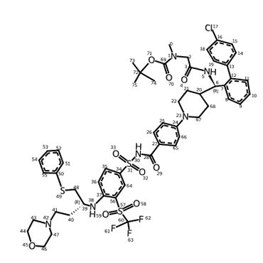 CN(CC(=O)N[C@@H](c1ccccc1-c1ccc(Cl)cc1)C1CCN(c2ccc(C(=O)NS(=O)(=O)c3ccc(N[C@H](CCN4CCOCC4)CSc4ccccc4)c(S(=O)(=O)C(F)(F)F)c3)cc2)CC1)C(=O)OC(C)(C)C